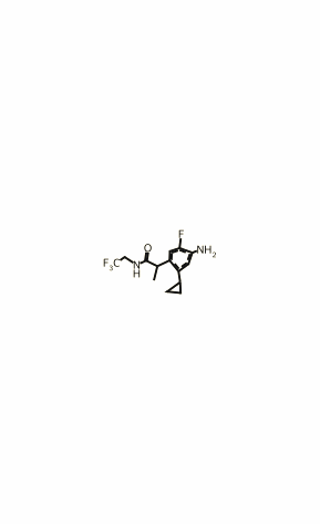 CC(C(=O)NCC(F)(F)F)c1cc(F)c(N)cc1C1CC1